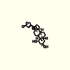 C[C@]12C(O)C[C@H](O)C[C@H]1CC[C@@H]1[C@@H]2CC[C@]2(C)[C@@H](C3=CC(=O)OC3)CC[C@]12O